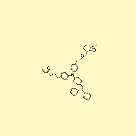 C=CC(=O)OCCc1ccc(N(c2ccc(C=C(c3ccccc3)c3ccccc3)cc2)c2ccc(CCOCC3CCC[C@@H]4OC34)cc2)cc1